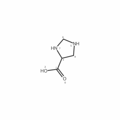 O=C(O)C1CNCN1